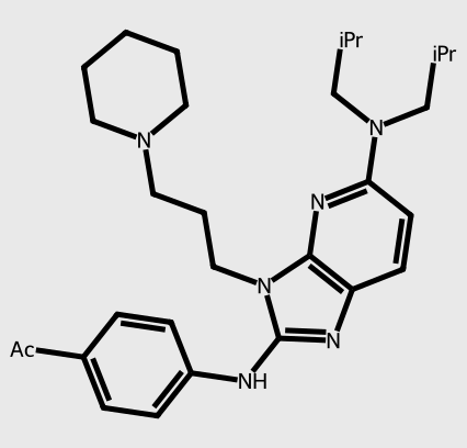 CC(=O)c1ccc(Nc2nc3ccc(N(CC(C)C)CC(C)C)nc3n2CCCN2CCCCC2)cc1